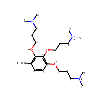 CN(C)CCCOc1ccc(C=O)c(OCCCN(C)C)c1OCCCN(C)C